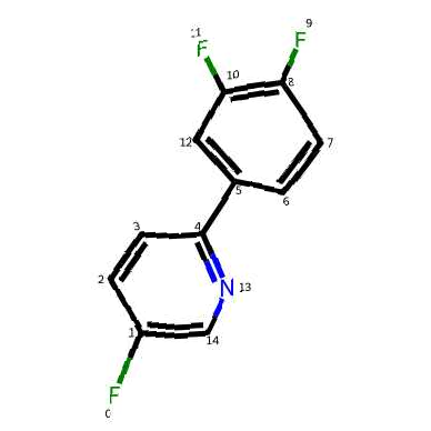 Fc1ccc(-c2ccc(F)c(F)c2)nc1